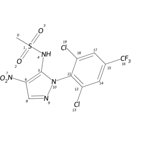 CS(=O)(=O)Nc1c([N+](=O)[O-])cnn1-c1c(Cl)cc(C(F)(F)F)cc1Cl